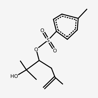 C=C(C)CC(OS(=O)(=O)c1ccc(C)cc1)C(C)(C)O